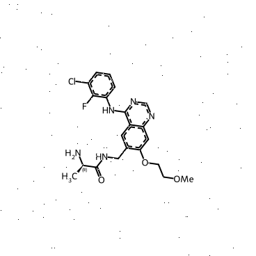 COCCOc1cc2ncnc(Nc3cccc(Cl)c3F)c2cc1CNC(=O)[C@@H](C)N